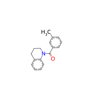 Cc1cccc(C(=O)N2CCCc3ccccc32)c1